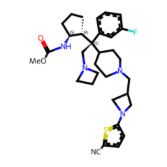 COC(=O)N[C@H]1CCC[C@@H]1[C@](CN1CCC1)(c1cccc(F)c1)C1CCN(CC2CN(c3ccc(C#N)s3)C2)CC1